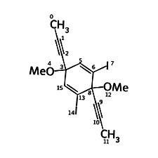 CC#CC1(OC)C=C(I)C(C#CC)(OC)C(I)=C1